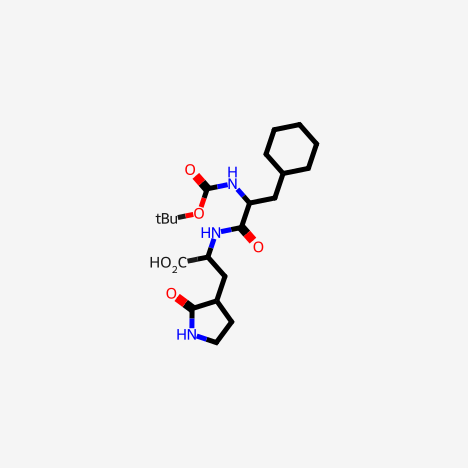 CC(C)(C)OC(=O)NC(CC1CCCCC1)C(=O)NC(CC1CCNC1=O)C(=O)O